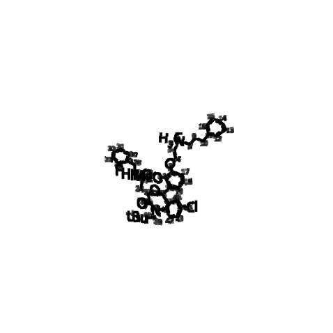 COc1c(OCCN(C)CCCc2ccccc2)cccc1[C@@H]1O[C@@H](CC(=O)NCc2ccccc2F)C(=O)N(CC(C)(C)C)c2ccc(Cl)cc21